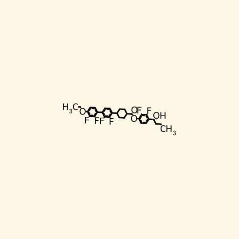 CCCC(O)c1ccc(OC(=O)C2CCC(c3ccc(-c4ccc(OCC)c(F)c4F)c(F)c3F)CC2)c(F)c1F